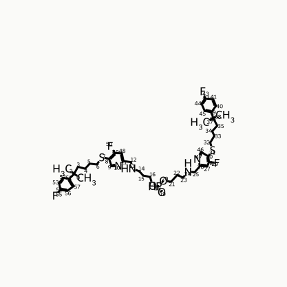 CC(C)(CCCCSc1cnc(CNCCCO[PH](=O)OCCCNCc2cc(F)c(SCCCCC(C)(C)c3ccc(F)cc3)cn2)cc1F)c1ccc(F)cc1